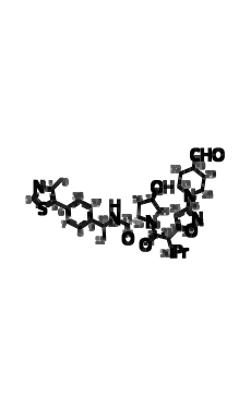 Cc1ncsc1-c1ccc(C(C)NC(=O)[C@@H]2C[C@@H](O)CN2C(=O)C(c2cc(N3CCC(C=O)CC3)no2)C(C)C)cc1